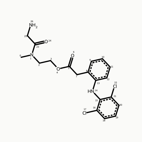 CN(CCOC(=O)Cc1ccccc1Nc1c(Cl)cccc1Cl)C(=O)CN